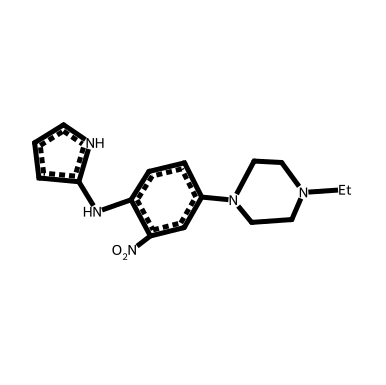 CCN1CCN(c2ccc(Nc3ccc[nH]3)c([N+](=O)[O-])c2)CC1